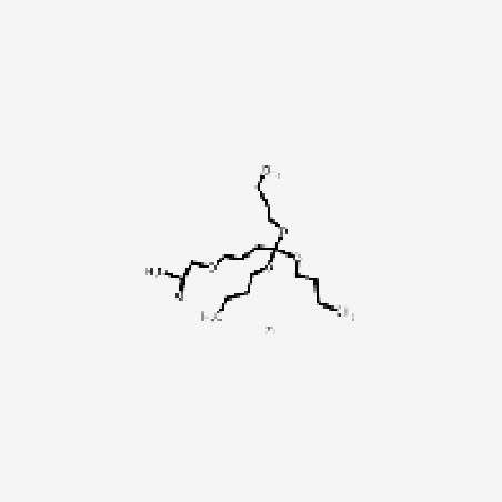 CCCCOC(CCCOCC(C)=O)(OCCCC)OCCCC.[Zr]